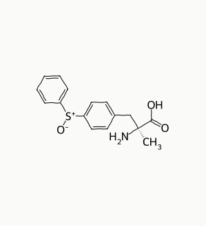 C[C@](N)(Cc1ccc([S+]([O-])c2ccccc2)cc1)C(=O)O